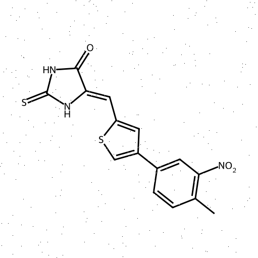 Cc1ccc(-c2csc(/C=C3\NC(=S)NC3=O)c2)cc1[N+](=O)[O-]